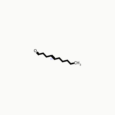 CCCCC/C=C/CC[C]=O